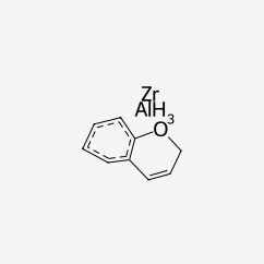 C1=Cc2ccccc2OC1.[AlH3].[Zr]